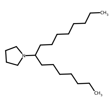 CCCCCCCCC(CCCCCCC)N1CCCC1